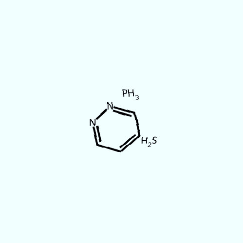 P.S.c1ccnnc1